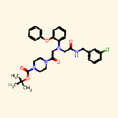 CC(C)(C)OC(=O)N1CCN(C(=O)CN(CC(=O)NCc2cccc(Cl)c2)c2ccccc2Oc2ccccc2)CC1